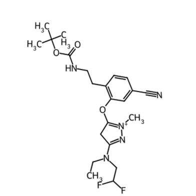 CCN(CC(F)F)C1=N[N+](C)=C(Oc2cc(C#N)ccc2CCNC(=O)OC(C)(C)C)C1